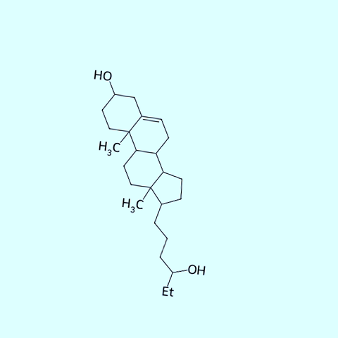 CCC(O)CCCC1CCC2C3CC=C4CC(O)CCC4(C)C3CCC12C